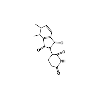 CC1C=CC2=C(C(=O)N(C3CCC(=O)NC3=O)C2=O)C1C